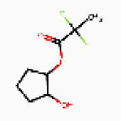 CC(F)(F)C(=O)OC1CCCC1O